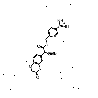 COC(C(=O)NCc1ccc(C(=N)N)cc1)c1ccc2c(c1)NC(=O)CO2.Cl